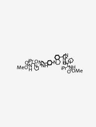 COC(=O)N[C@H](C(=O)N1CCC[C@H]1c1ncc(-c2ccc(N3CCCc4c(-c5cnc([C@@H]6CCCN6C(=O)[C@@H](NC(=O)OC)C(C)C)[nH]5)cccc43)cc2)[nH]1)C(C)C